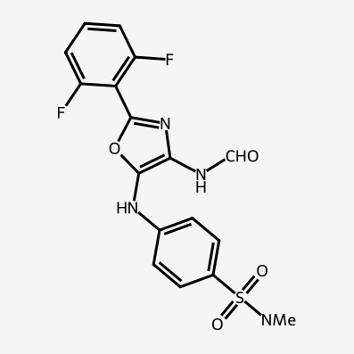 CNS(=O)(=O)c1ccc(Nc2oc(-c3c(F)cccc3F)nc2NC=O)cc1